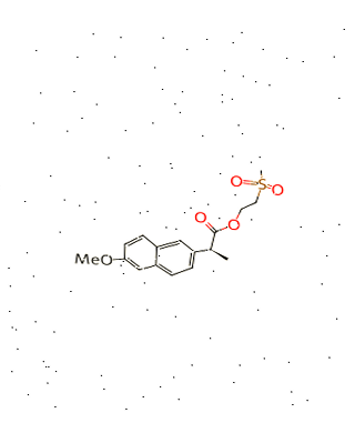 COc1ccc2cc([C@H](C)C(=O)OCCS(C)(=O)=O)ccc2c1